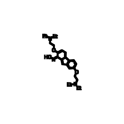 CCN(CC)CCOC1=CC=C2C(=Cc3cc(OCCN(CC)CC)ccc32)C1=NO